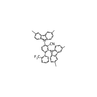 Cc1ccc2c(c1)c1cc(C)ccc1n2-c1ccc(-c2ccccc2C(F)(F)F)c(-n2c3ccc(C)cc3c3cc(C)ccc32)c1C#N